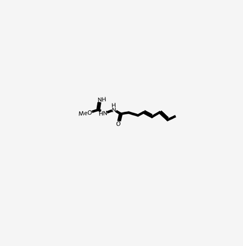 C/C=C/C=C/CCC(=O)NNC(=N)OC